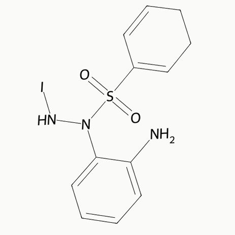 Nc1ccccc1N(NI)S(=O)(=O)C1=CCCC=C1